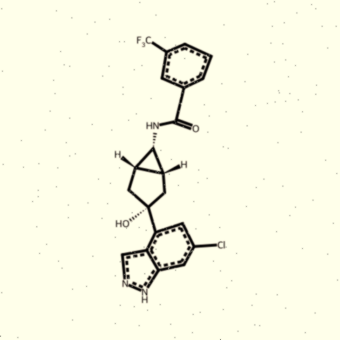 O=C(N[C@@H]1[C@@H]2C[C@@](O)(c3cc(Cl)cc4[nH]ncc34)C[C@@H]21)c1cccc(C(F)(F)F)c1